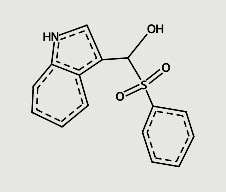 O=S(=O)(c1ccccc1)C(O)c1c[nH]c2ccccc12